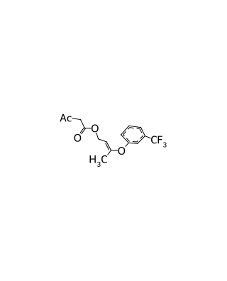 CC(=O)CC(=O)OCC=C(C)Oc1cccc(C(F)(F)F)c1